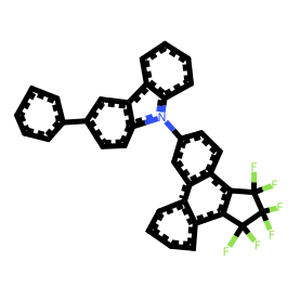 FC1(F)c2c(c3ccc(-n4c5ccccc5c5cc(-c6ccccc6)ccc54)cc3c3ccccc23)C(F)(F)C1(F)F